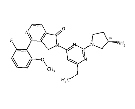 CCc1cc(N2Cc3c(ccnc3-c3c(F)cccc3OC)C2=O)nc(N2CC[C@@H](N)C2)n1